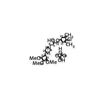 COc1cc(N2CCN(CCC(O)COc3cc(C)c(Cl)c(C)c3)CC2)cc(OC)c1OC.O=C(O)C(=O)O